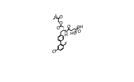 CN(C)C(=O)COC(=O)C[C@@H](Cc1ccc(-c2cc(Cl)ccc2F)cc1)NC(=O)CCP(=O)(O)O